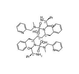 CC(C)[C@H](N)C(=O)N([C@@H](Cc1ccccc1)[C@H](O)[C@@H](O)[C@H](Cc1ccccc1)N(C(=O)[C@@H](N)C(C)C)S(=O)(=O)N(C)Cc1ccccn1)S(=O)(=O)N(C)Cc1ccccn1